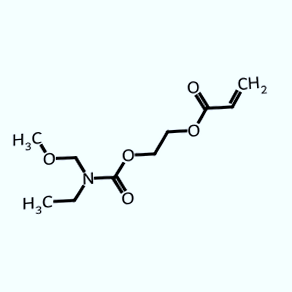 C=CC(=O)OCCOC(=O)N(CC)COC